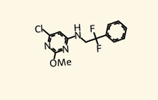 COc1nc(Cl)cc(NCC(F)(F)c2ccccc2)n1